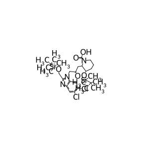 CC(C)(C)[Si](C)(C)OCc1nc2cc(Cl)c(Cl)cc2n1CC(=O)CC1C(O[Si](C)(C)C(C)(C)C)CCCN1C(=O)O